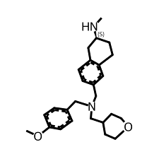 CN[C@H]1CCc2cc(CN(Cc3ccc(OC)cc3)CC3CCOCC3)ccc2C1